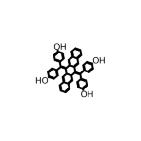 Oc1ccc(C(=C2c3cc4ccccc4cc3C(=C(c3ccc(O)cc3)c3ccc(O)cc3)C3C=c4ccccc4=CC23)c2ccc(O)cc2)cc1